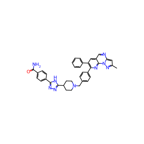 Cc1cc2ncc3cc(-c4ccccc4)c(-c4ccc(CN5CCC(c6nnc(-c7ccc(C(N)=O)cc7)[nH]6)CC5)cc4)nc3n2n1